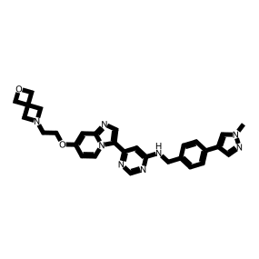 Cn1cc(-c2ccc(CNc3cc(-c4cnc5cc(OCCN6CC7(COC7)C6)ccn45)ncn3)cc2)cn1